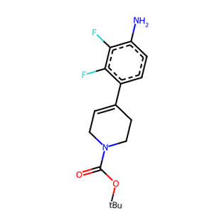 CC(C)(C)OC(=O)N1CC=C(c2ccc(N)c(F)c2F)CC1